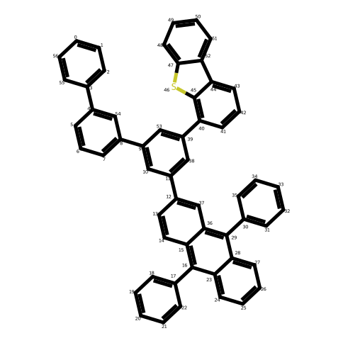 c1ccc(-c2cccc(-c3cc(-c4ccc5c(-c6ccccc6)c6ccccc6c(-c6ccccc6)c5c4)cc(-c4cccc5c4sc4ccccc45)c3)c2)cc1